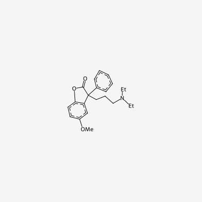 CCN(CC)CCCC1(c2ccccc2)C(=O)Oc2ccc(OC)cc21